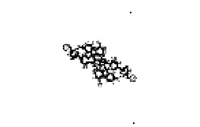 Cc1cccc(C2(c3cccc(C)c3)c3cc(-c4ccc(C=O)s4)ccc3-c3sc4c5c(sc4c32)-c2ccc(-c3ccc(C=O)s3)cc2C5(c2cccc(C)c2)c2cccc(C)c2)c1